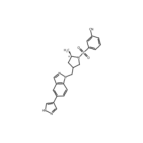 C[C@@H]1CC(Cn2ncc3cc(-c4cn[nH]c4)ccc32)CN1S(=O)(=O)c1cccc(C#N)c1